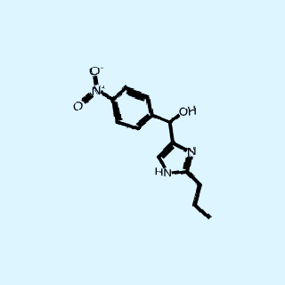 CCCc1nc(C(O)c2ccc([N+](=O)[O-])cc2)c[nH]1